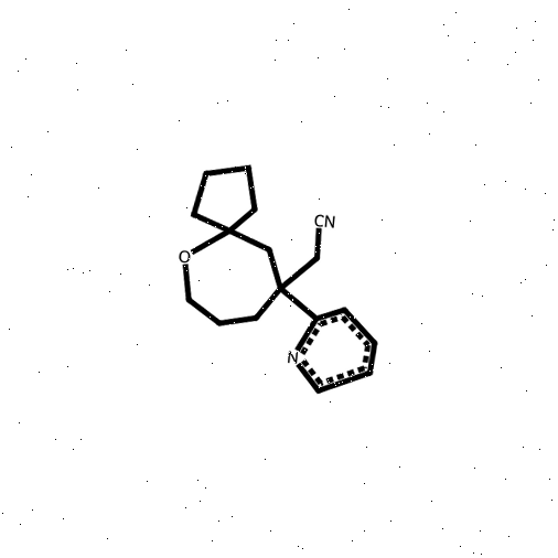 N#CCC1(c2ccccn2)CCCOC2(CCCC2)C1